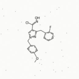 COc1ccc(Cn2cc(/C(Cl)=N/O)c(Cc3ccccc3F)n2)cc1